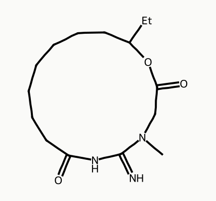 CCC1CCCCCCCC(=O)NC(=N)N(C)CC(=O)O1